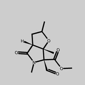 COC(=O)[C@]1(C=O)N(C)C(=O)[C@@H]2CC(C)O[C@@]21C